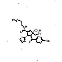 CC(C)C[C@@]1(C(=O)O)C=C(C(=O)NCCC(=O)O)[C@H](c2nccs2)N1C(=O)c1ccc(C(C)(C)C)cc1